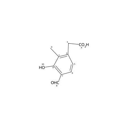 Cc1c(CC(=O)O)ccc(C=O)c1O